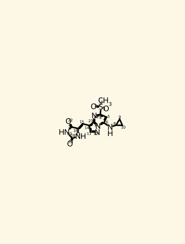 CS(=O)(=O)c1cc(NC2CC2)n2ncc(C=C3NC(=O)NC3=O)c2n1